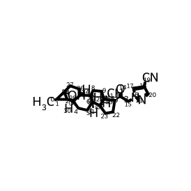 CC1C2[C@H]3CC[C@@H]4[C@H](CC[C@]5(C)[C@@H](C(=O)Cn6cc(C#N)cn6)CC[C@@H]45)[C@H]3CC[C@]12O